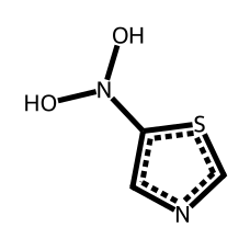 ON(O)c1cncs1